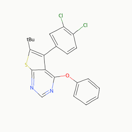 CC(C)(C)c1sc2ncnc(Oc3ccccc3)c2c1-c1ccc(Cl)c(Cl)c1